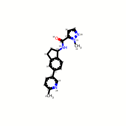 Cc1ccc(-c2ccc3c(c2)CCC3NC(=O)c2ccnn2C)cn1